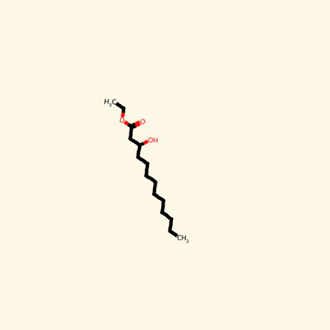 CCCCCCCCCCC(O)CC(=O)OCC